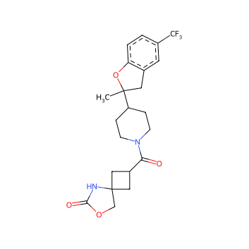 CC1(C2CCN(C(=O)C3CC4(COC(=O)N4)C3)CC2)Cc2cc(C(F)(F)F)ccc2O1